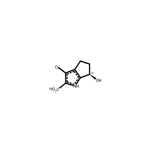 O=C(O)c1[nH]c2c(c1Cl)CC[C@H]2O